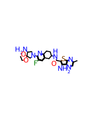 Cc1cnc2c(N)c(C(=O)NC3CCc4nc(N5CC(N)C6(C5)OCCO6)c(F)cc4C3)sc2n1